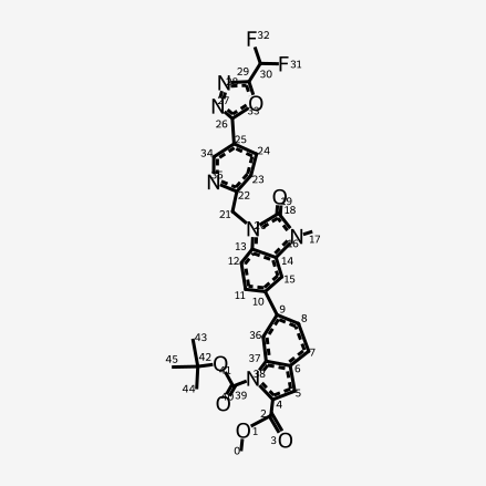 COC(=O)c1cc2ccc(-c3ccc4c(c3)n(C)c(=O)n4Cc3ccc(-c4nnc(C(F)F)o4)cn3)cc2n1C(=O)OC(C)(C)C